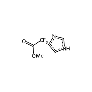 COC(=O)C(F)(F)F.c1c[nH]cn1